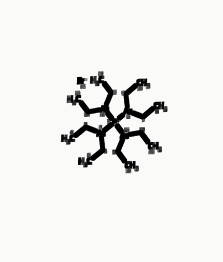 CC[As](CC)[P+]([As](CC)CC)([As](CC)CC)[As](CC)CC.[Br-]